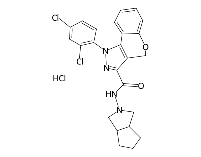 Cl.O=C(NN1CC2CCCC2C1)c1nn(-c2ccc(Cl)cc2Cl)c2c1COc1ccccc1-2